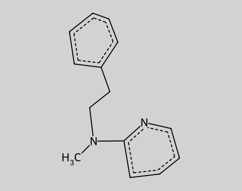 CN(CCc1ccccc1)c1ccccn1